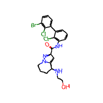 O=C(Nc1cccc(-c2cccc(Br)c2Cl)c1Cl)c1cc2n(n1)CCCC2NCCO